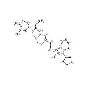 CCC(=O)N(CC1CCN(CCn2c(=O)n(C3=CCCC3)c3ccccc32)CC1)c1ccc(Cl)c(Cl)c1